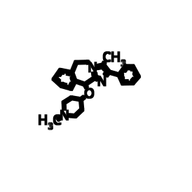 Cc1c(-c2ccccc2)nc2n1CCc1ccccc1C2OC1CCN(C)CC1